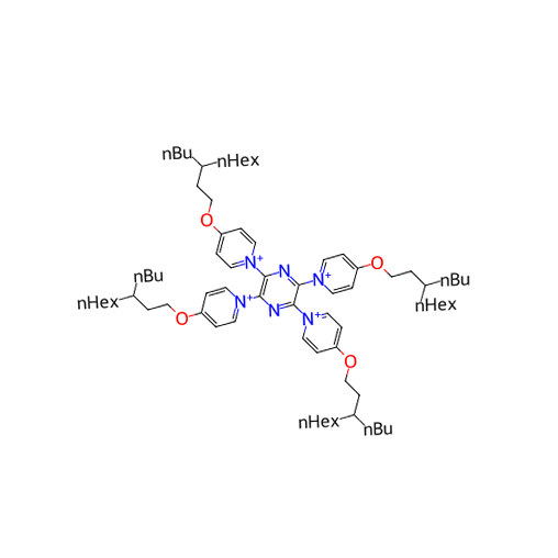 CCCCCCC(CCCC)CCOc1cc[n+](-c2nc(-[n+]3ccc(OCCC(CCCC)CCCCCC)cc3)c(-[n+]3ccc(OCCC(CCCC)CCCCCC)cc3)nc2-[n+]2ccc(OCCC(CCCC)CCCCCC)cc2)cc1